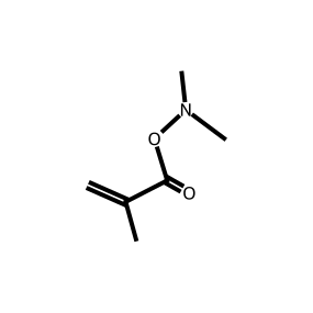 C=C(C)C(=O)ON(C)C